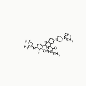 C=CN(C)/N=C1\CC=C(c2nc(C(=O)NC)c3cc(N4CCC(N(C)C)CC4)ccc3n2)C(O)=C1F